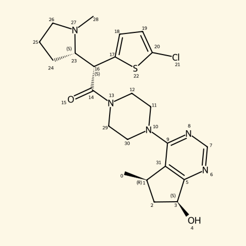 C[C@@H]1C[C@H](O)c2ncnc(N3CCN(C(=O)[C@@H](c4ccc(Cl)s4)[C@@H]4CCCN4C)CC3)c21